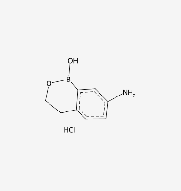 Cl.Nc1ccc2c(c1)B(O)OCC2